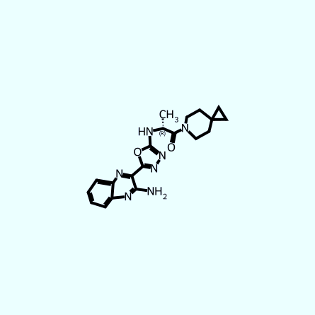 C[C@@H](Nc1nnc(-c2nc3ccccc3nc2N)o1)C(=O)N1CCC2(CC1)CC2